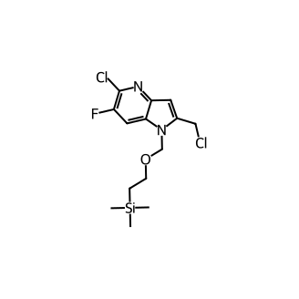 C[Si](C)(C)CCOCn1c(CCl)cc2nc(Cl)c(F)cc21